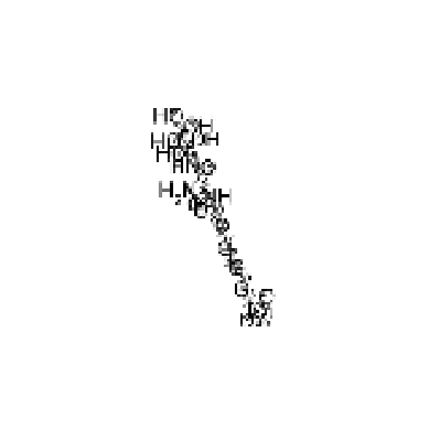 NC(=O)C(CCC(=O)NC[C@H](O)[C@@H](O)[C@H](O)[C@H](O)CO)NC(=O)CCOCCOCCOCCOCCN1C(=O)C=CC1=O